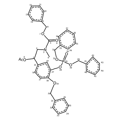 CC(=O)OC(CN(C)C(=O)OCc1ccccc1)c1ccc(OCc2ccccc2)c(OP(=O)(OCc2ccccc2)OCc2ccccc2)c1